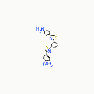 Nc1ccc(-c2csc(-c3cccc(-c4nc(-c5ccc(N)cc5)cs4)c3)n2)cc1